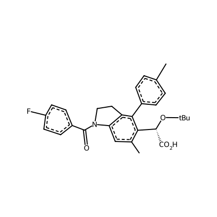 Cc1ccc(-c2c3c(cc(C)c2[C@H](OC(C)(C)C)C(=O)O)N(C(=O)c2ccc(F)cc2)CC3)cc1